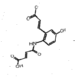 [O]C(=O)C=Cc1cc(O)ccc1NC(=O)C=CC(=O)O